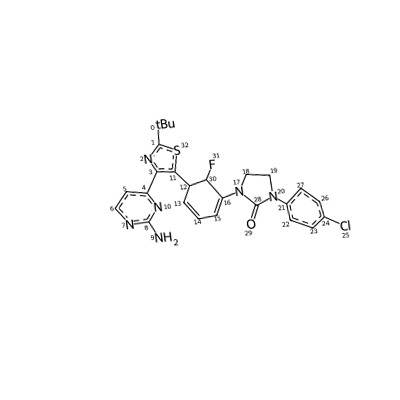 CC(C)(C)c1nc(-c2ccnc(N)n2)c(C2C=CC=C(N3CCN(c4ccc(Cl)cc4)C3=O)C2F)s1